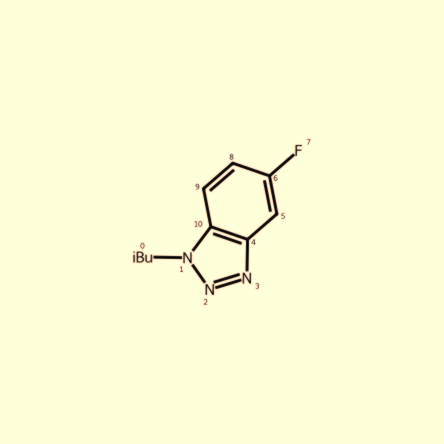 CCC(C)n1nnc2cc(F)ccc21